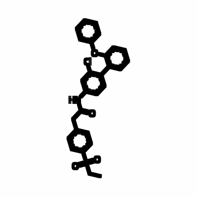 CCS(=O)(=O)c1ccc(CC(=O)Nc2ccc(-c3ccccc3Oc3ccccc3)c(Cl)c2)cc1